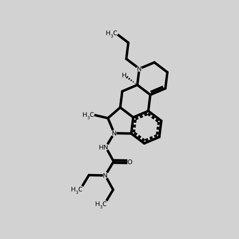 CCCN1CCC=C2c3cccc4c3C(C[C@H]21)C(C)N4NC(=O)N(CC)CC